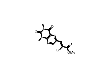 COC(=O)C(Br)=Cc1cnc2c(n1)c(=O)n(C)c(=O)n2C